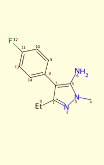 CCc1nn(C)c(N)c1-c1ccc(F)cc1